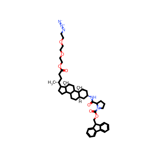 C[C@H](CCC(=O)OCCOCCOCCN=[N+]=[N-])C1CCC2C3CC[C@@H]4C[C@H](NC(=O)C5CCCN5C(=O)OCC5c6ccccc6-c6ccccc65)CC[C@]4(C)C3CC[C@@]21C